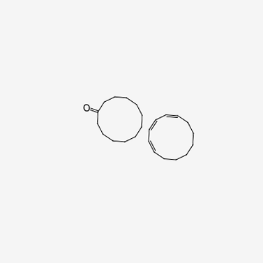 C1=CC=CCCCCCCC=C1.O=C1CCCCCCCCCCC1